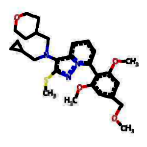 COCc1cc(OC)c(-c2cccc3c(N(CC4CCOCC4)CC4CC4)c(SC)nn23)c(OC)c1